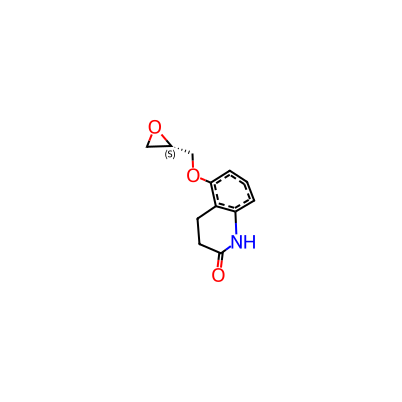 O=C1CCc2c(cccc2OC[C@@H]2CO2)N1